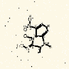 CC1C(=NO)[N+]([O-])=C2C(=CCC=C2[N+](=O)[O-])N1C